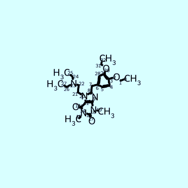 CCOc1ccc(Cc2nc3c(c(=O)n(C)c(=O)n3C)n2CCN(CC)CC)cc1OCC